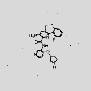 Nc1cc(F)c(-c2c(F)cccc2F)nc1C(=O)Nc1cnccc1OC1CCNC1